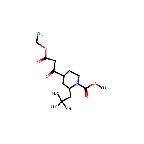 CCOC(=O)CC(=O)C1CCN(C(=O)OC)C(CC(C)(C)C)C1